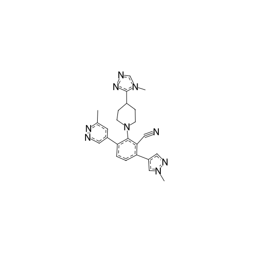 Cc1cc(-c2ccc(-c3cnn(C)c3)c(C#N)c2N2CCC(c3nncn3C)CC2)cnn1